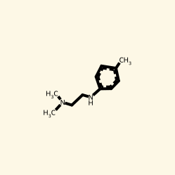 Cc1ccc(NCCN(C)C)cc1